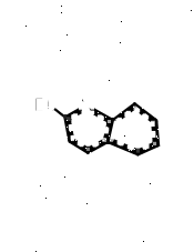 [CH2]Cc1ccc2ccccc2n1